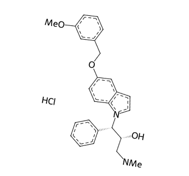 CNC[C@@H](O)[C@H](c1ccccc1)n1ccc2cc(OCc3cccc(OC)c3)ccc21.Cl